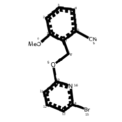 COc1cccc(C#N)c1COc1cccc(Br)n1